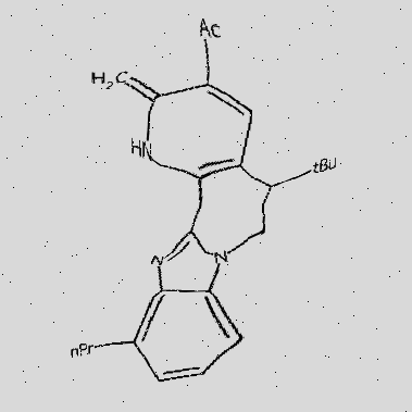 C=C1NC2=C(C=C1C(C)=O)C(C(C)(C)C)Cn1c2nc2c(CCC)cccc21